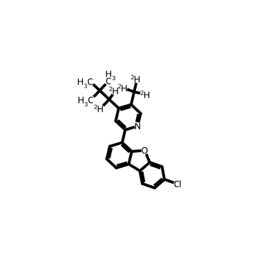 [2H]C([2H])([2H])c1cnc(-c2cccc3c2oc2cc(Cl)ccc23)cc1C([2H])([2H])C(C)(C)C